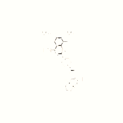 COc1cc2c(N)nc(N3CCN(C(=O)C[C@@H]4NC[C@@H]5CCC[C@@H]54)CC3)nc2c(F)c1OC